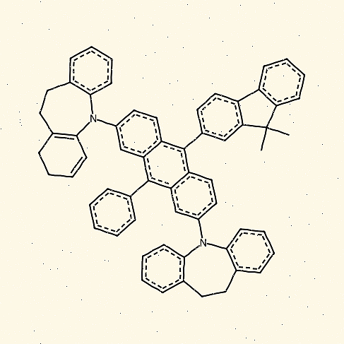 CC1(C)c2ccccc2-c2ccc(-c3c4ccc(N5C6=C(CCC=C6)CCc6ccccc65)cc4c(-c4ccccc4)c4cc(N5c6ccccc6CCc6ccccc65)ccc34)cc21